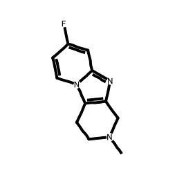 CN1CCc2c(nc3cc(F)ccn23)C1